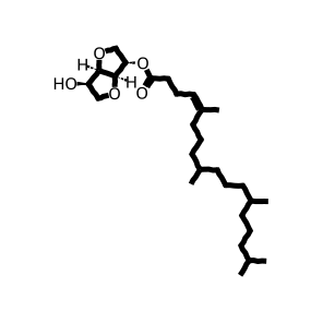 CC(=CCCC(=O)O[C@H]1CO[C@H]2[C@@H]1OC[C@H]2O)CCCC(C)CCCC(C)CCCC(C)C